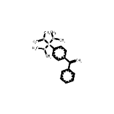 C=C(c1ccccc1)c1ccc([Si](N(C)C)(N(C)C)N(C)C)cc1